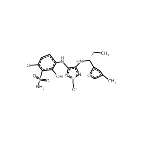 CC[C@@H](Nc1n[s+]([O-])nc1Nc1ccc(Cl)c(S(N)(=O)=O)c1O)c1cc(C)co1